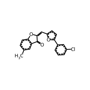 Cc1ccc2c(c1)C(=O)C(=Cc1ccc(-c3cccc(Cl)c3)o1)O2